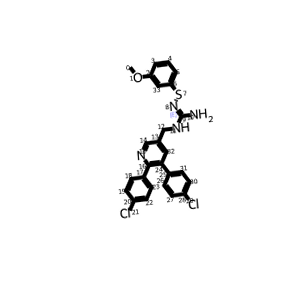 COc1cccc(S/N=C(\N)NCc2cnc(-c3ccc(Cl)cc3)c(-c3ccc(Cl)cc3)c2)c1